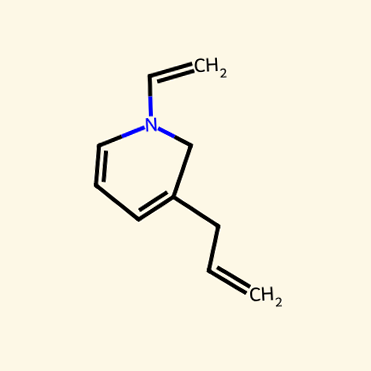 C=CCC1=CC=CN(C=C)C1